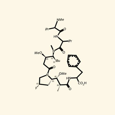 CC[C@H](C)[C@@H]([C@@H](CC(=O)N1C[C@@H](F)C[C@H]1[C@H](OC)[C@@H](C)C(=O)NC(Cc1ccccc1)C(=O)O)OC)N(C)C(=O)C(NC(=O)C(NC)C(C)C)C(C)C